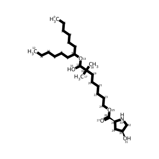 CCCCCCC(CCCCCC)OC(O)C(C)(C)CCCCCCOC(=O)[C@@H]1C[C@H](O)CN1